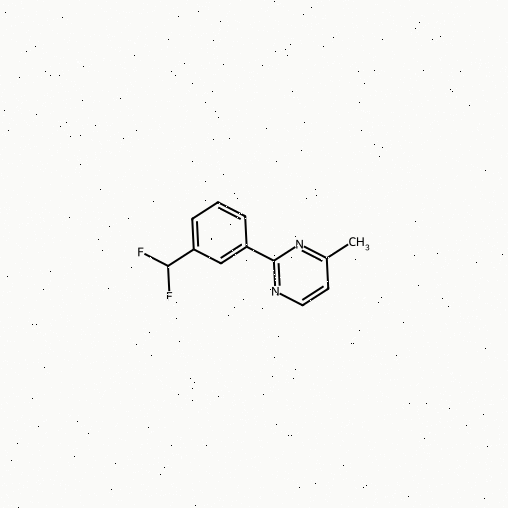 Cc1ccnc(-c2cccc(C(F)F)c2)n1